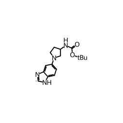 CC(C)(C)OC(=O)NC1CCN(c2ccc3[nH][c]nc3c2)C1